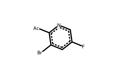 CC(=O)c1ncc(F)cc1Br